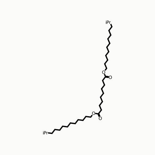 CC(C)CCCCCCCCCCCOC(=O)CCCCCCCCC(=O)OCCCCCCCCCCCC(C)C